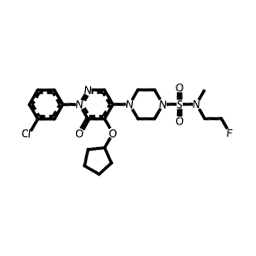 CN(CCF)S(=O)(=O)N1CCN(c2cnn(-c3cccc(Cl)c3)c(=O)c2OC2CCCC2)CC1